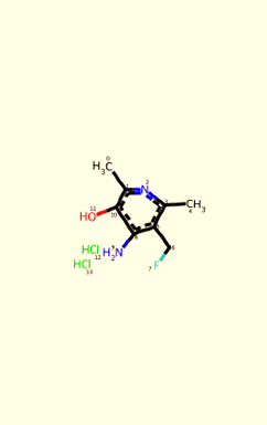 Cc1nc(C)c(CF)c(N)c1O.Cl.Cl